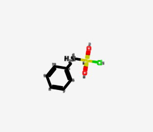 O=S(=O)(Cl)[SiH2]c1ccccc1